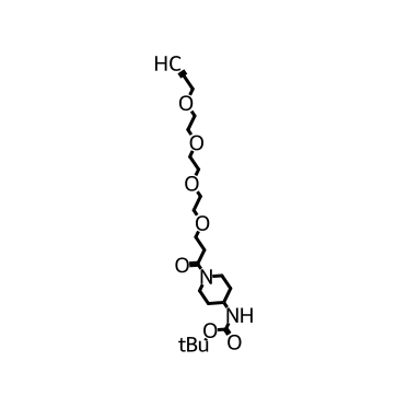 C#CCOCCOCCOCCOCCC(=O)N1CCC(NC(=O)OC(C)(C)C)CC1